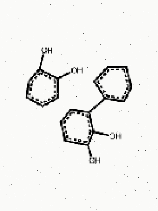 Oc1cccc(-c2ccccc2)c1O.Oc1ccccc1O